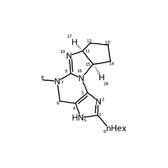 CCCCCCc1nc2c([nH]1)CN(C)C1=N[C@H]3CCC[C@H]3N12